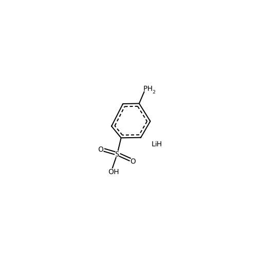 O=S(=O)(O)c1ccc(P)cc1.[LiH]